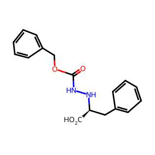 O=C(NN[C@@H](Cc1ccccc1)C(=O)O)OCc1ccccc1